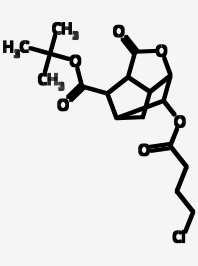 CC(C)(C)OC(=O)C1C2CC3C(OC(=O)C31)C2OC(=O)CCCCl